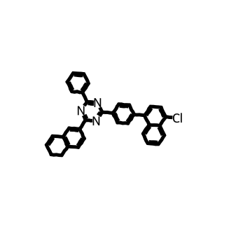 Clc1ccc(-c2ccc(-c3nc(-c4ccccc4)nc(-c4ccc5c(c4)C=CCC5)n3)cc2)c2ccccc12